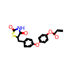 C=CC(=O)Oc1ccc(Oc2ccc(CC3SC(=O)NC3=O)cc2)cc1